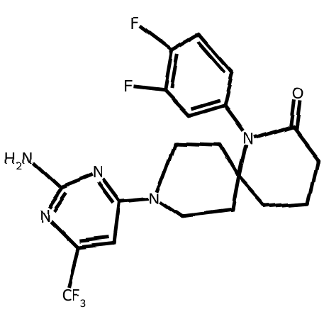 Nc1nc(N2CCC3(CCCC(=O)N3c3ccc(F)c(F)c3)CC2)cc(C(F)(F)F)n1